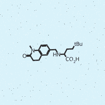 CN1C(=O)CCc2cc(CNC(CCC(C)(C)C)C(=O)O)ccc21